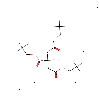 CCC(CC)(CC)COC(=O)CC(O)(CC(=O)OCC(CC)(CC)CC)C(=O)OCC(CC)(CC)CC